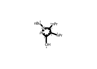 CCCCn1nc(O)c(CCC)c1CCC